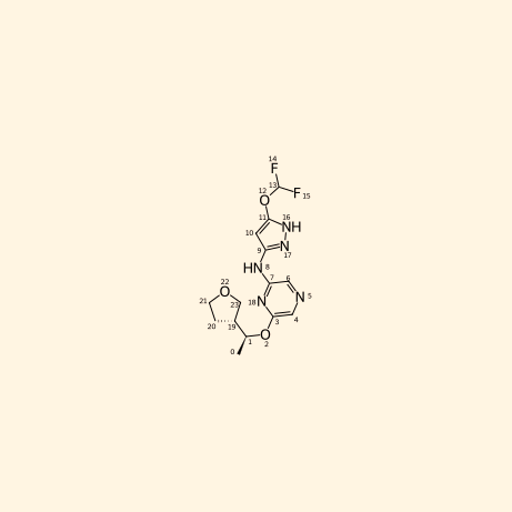 C[C@H](Oc1cncc(Nc2cc(OC(F)F)[nH]n2)n1)[C@@H]1CCOC1